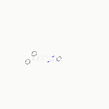 N#CN/C(=N\c1ccncc1)NCCN1CCC(SC(c2ccccc2)c2ccccc2)CC1